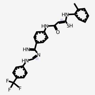 Cc1ccccc1N/C(S)=C/C(=O)Nc1ccc(C(=N)/N=C\Nc2ccc(C(F)(F)F)cc2)cc1